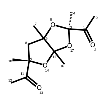 CC(=O)[C@]1(C)OC2(C)C[C@@](C)(C(C)=O)OC2(C)O1